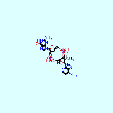 C[C@@H]1[C@@H]2OP(=O)(O)OC[C@@H]3C[C@@H](OP(=O)(O)OC[C@H]2O[C@H]1n1cnc2c(N)ccnc21)[C@H](n1cnc2c(=O)[nH]c(N)nc21)O3